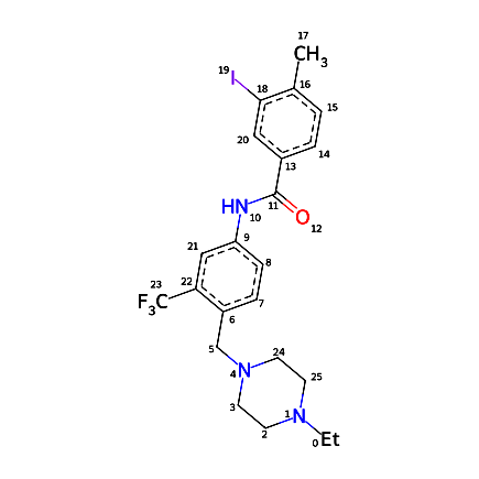 CCN1CCN(Cc2ccc(NC(=O)c3ccc(C)c(I)c3)cc2C(F)(F)F)CC1